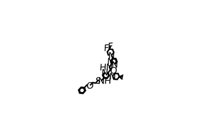 O=C(Nc1nccc(N2CCC(F)(F)CC2)n1)c1ncc(NSCCOCc2ccccc2)cc1N1CCC2(CC1)CC2